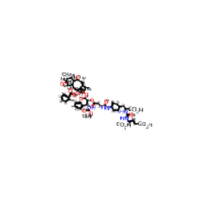 CO[C@H]1C[C@H]2OC[C@@]2(OC(C)=O)[C@H]2[C@H](OC(=O)c3ccccc3)[C@]3(O)C[C@H](OC(=O)[C@H](OC(=O)CCC(=O)Nc4ccc(C[C@H](NC(=O)N[C@@H](CCC(=O)O)C(=O)O)C(=O)O)cc4)[C@@H](NC(=O)OC(C)(C)C)c4ccccc4)C(C)=C([C@@H](C)C(=O)[C@]12C)C3(C)C